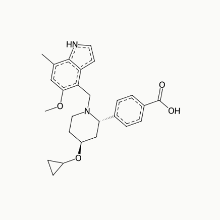 COc1cc(C)c2[nH]ccc2c1CN1CC[C@H](OC2CC2)C[C@H]1c1ccc(C(=O)O)cc1